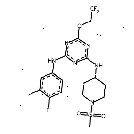 Cc1cc(Nc2nc(NC3CCN(S(C)(=O)=O)CC3)nc(OCC(F)(F)F)n2)ccc1F